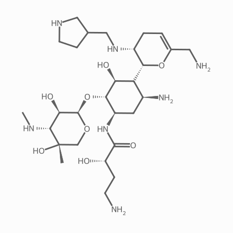 CN[C@@H]1[C@@H](O)[C@@H](O[C@H]2[C@H](NC(=O)[C@@H](O)CCN)C[C@H](N)C([C@H]3OC(CN)=CC[C@H]3NCC3CCNC3)[C@@H]2O)OC[C@]1(C)O